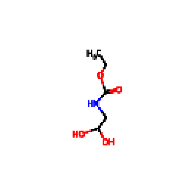 CCOC(=O)NCC(O)O